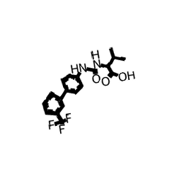 CC(C)C(NC(=O)Nc1ccc(-c2cccc(C(F)(F)F)c2)cc1)C(=O)O